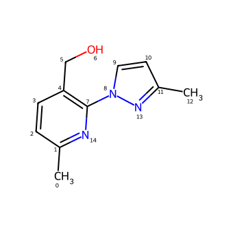 Cc1ccc(CO)c(-n2ccc(C)n2)n1